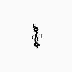 Cc1ccc(COC(=O)NCCc2ccc(F)cc2)cc1C